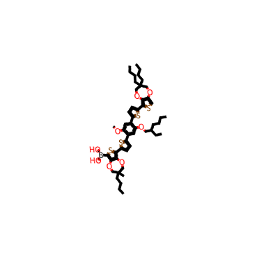 CCCCC(CC)COc1cc(-c2ccc(-c3sc(B(O)O)c4c3OCC(C)(CCCC)CO4)s2)c(OC)cc1-c1ccc(-c2scc3c2OCC(CCCC)(CCCC)CO3)s1